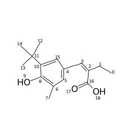 CCC(=Cc1cc(C)c(O)c(C(C)(C)C)c1)C(=O)O